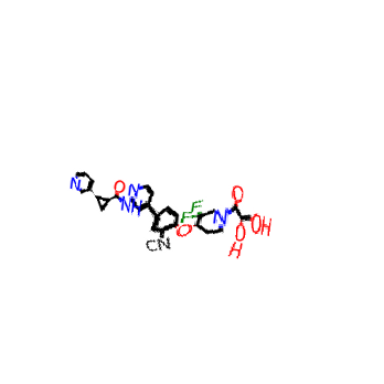 N#Cc1cc(-c2ccnc(NC(=O)[C@H]3C[C@@H]3c3cccnc3)c2)ccc1O[C@H]1CCN(C(=O)[C@@H](O)CO)CC1(F)F